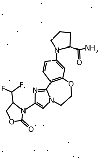 NC(=O)[C@@H]1CCCN1c1ccc2c(c1)OCCn1cc(N3C(=O)OCC3C(F)F)nc1-2